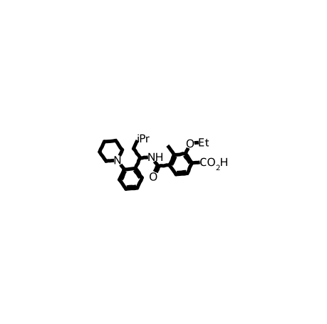 CCOc1c(C(=O)O)ccc(C(=O)NC(CC(C)C)c2ccccc2N2CCCCC2)c1C